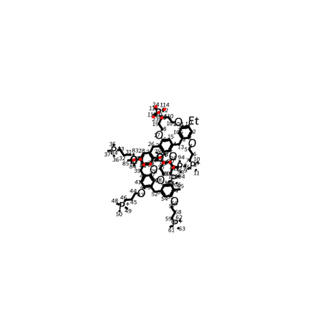 CCc1cc(OCCC[P+](C)(C)C)c(Cc2cc(OCCC[P+](C)(C)C)c(Cc3cc(OCCC[P+](C)(C)C)c(Cc4cc(OCCC[P+](C)(C)C)c(Cc5cc(OCCC[P+](C)(C)C)c(C)cc5OCCC[P+](C)(C)C)cc4OCCC[P+](C)(C)C)cc3OCCC[P+](C)(C)C)cc2OCCC[P+](C)(C)C)cc1OCCC[P+](C)(C)C